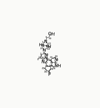 Cc1cc(N2C[C@H]3CN(CCO)C[C@H]3C2)nn2c(-c3ccnc4[nH]ccc34)c(-c3ccc(F)cc3)nc12